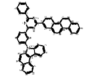 c1ccc(-c2nc(-c3cccc(-n4c5ccccc5c5c6ccccc6ccc54)c3)nc(-c3ccc4c(ccc5c6ccccc6ccc45)c3)n2)cc1